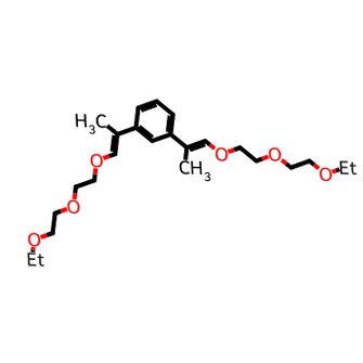 CCOCCOCCOC=C(C)c1cccc(C(C)=COCCOCCOCC)c1